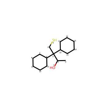 CC(O)C(CS)(C1CCCCC1)C1CCCCC1